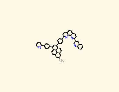 CC(C)(C)c1cc2ccc3c(-c4ccc(-c5ccccn5)cc4)cc(-c4ccc(-c5ccc6ccc7ccc(-c8cnc9ccccc9c8)nc7c6n5)cc4)c4ccc(c1)c2c34